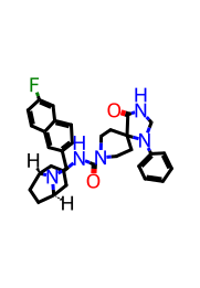 O=C(NC1C[C@H]2CC[C@H](C1)N2Cc1ccc2cc(F)ccc2c1)N1CCC2(CC1)C(=O)NCN2c1ccccc1